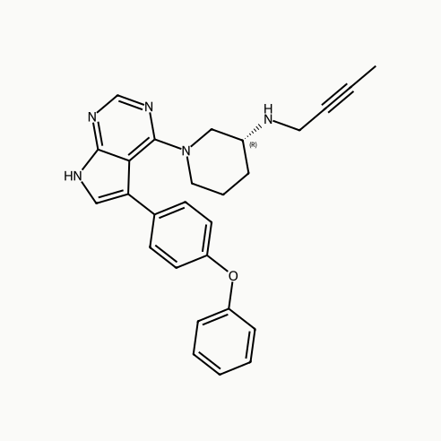 CC#CCN[C@@H]1CCCN(c2ncnc3[nH]cc(-c4ccc(Oc5ccccc5)cc4)c23)C1